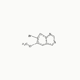 COc1cc2[c]ncnc2cc1Br